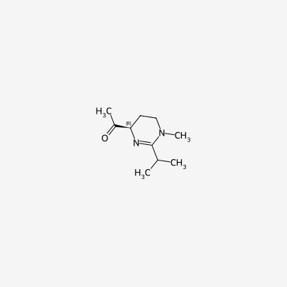 CC(=O)[C@H]1CCN(C)C(C(C)C)=N1